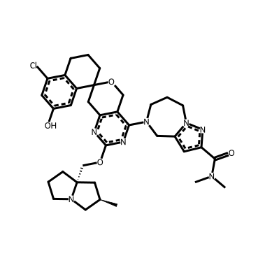 C[C@H]1CN2CCC[C@@]2(COc2nc3c(c(N4CCCn5nc(C(=O)N(C)C)cc5C4)n2)COC2(CCCc4c(Cl)cc(O)cc42)C3)C1